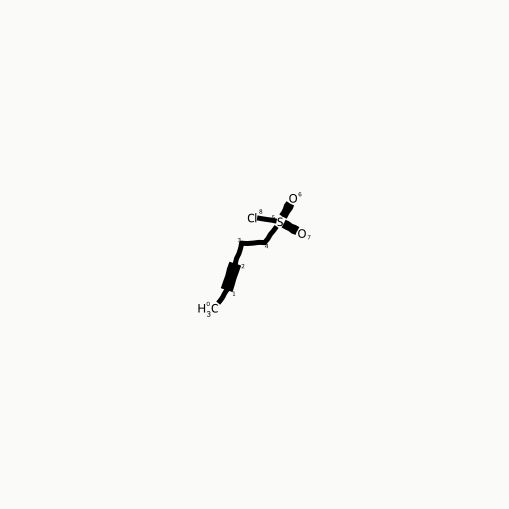 CC#CCCS(=O)(=O)Cl